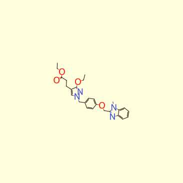 CCOC(=O)CCc1cn(Cc2ccc(OCc3nc4ccccc4n3C)cc2)nc1OCC